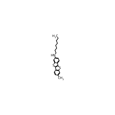 CCCCCCCCNc1ccc2c(c1)sc1c3ccc(C)cc3sc21